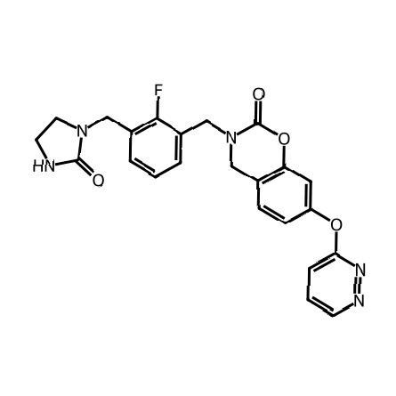 O=C1NCCN1Cc1cccc(CN2Cc3ccc(Oc4cccnn4)cc3OC2=O)c1F